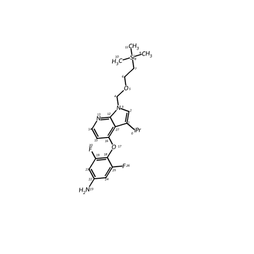 CC(C)c1cn(COCC[Si](C)(C)C)c2nccc(Oc3c(F)cc(N)cc3F)c12